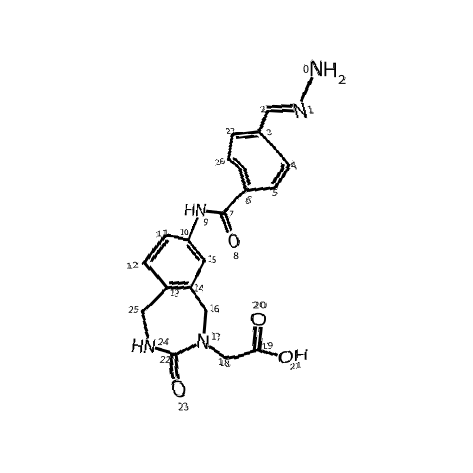 NN=Cc1ccc(C(=O)Nc2ccc3c(c2)CN(CC(=O)O)C(=O)NC3)cc1